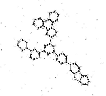 c1ccc(-c2cccc(-c3nc(-c4ccc(-c5ccc6c(c5)oc5ccccc56)cc4)nc(-c4ccc5c6ccccc6c6ccccc6c5c4)n3)c2)cc1